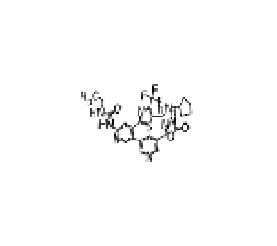 CCNC(=O)Nc1cc(-c2nc(C(F)(F)F)c(CNC3CCCC3)s2)c(-c2cncc(-c3n[nH]c(=O)o3)c2)cn1